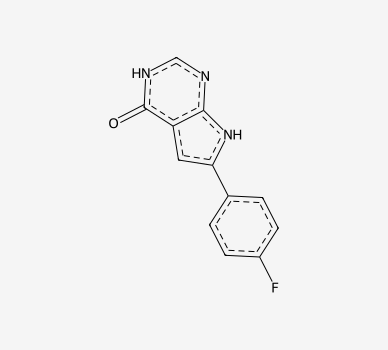 O=c1[nH]cnc2[nH]c(-c3ccc(F)cc3)cc12